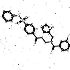 O=C(CCN(Cc1ccco1)C(=O)c1cccc(F)c1)c1ccc(S(=O)(=O)Oc2ccccc2)cc1